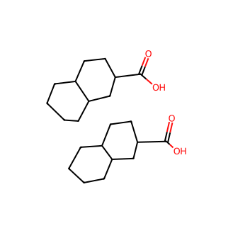 O=C(O)C1CCC2CCCCC2C1.O=C(O)C1CCC2CCCCC2C1